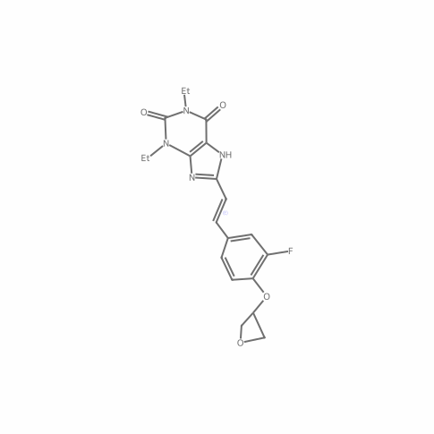 CCn1c(=O)c2[nH]c(/C=C/c3ccc(OC4COC4)c(F)c3)nc2n(CC)c1=O